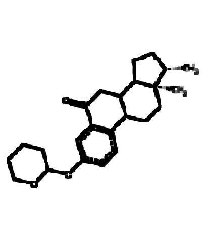 C[C@H]1CCC2C3CC(=O)c4cc(OC5CCCCO5)ccc4C3CC[C@@]21C